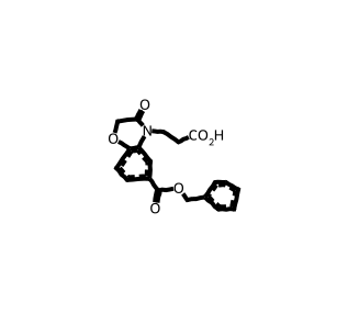 O=C(O)CCN1C(=O)COc2ccc(C(=O)OCc3ccccc3)cc21